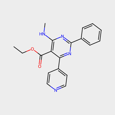 CCOC(=O)c1c(NC)nc(-c2ccccc2)nc1-c1ccncc1